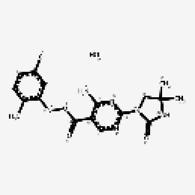 Cc1ccc(Cl)cc1NOC(=O)c1cnc(N2CC(C)(C)NC2=O)nc1N.Cl